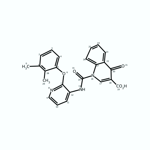 Cc1cccc(Oc2ncccc2NC(=O)n2cc(C(=O)O)c(=O)c3ccccc32)c1C